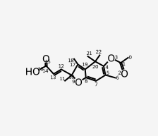 CC(=O)OC1=C(C)C=C2OC(C)(C=CC(=O)O)C(C)=C2C1(C)C